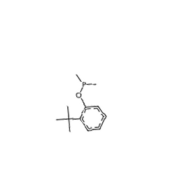 CP(C)Oc1ccccc1C(C)(C)C